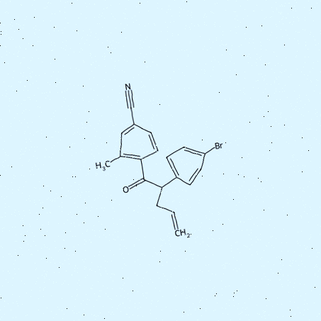 C=CCC(C(=O)c1ccc(C#N)cc1C)c1ccc(Br)cc1